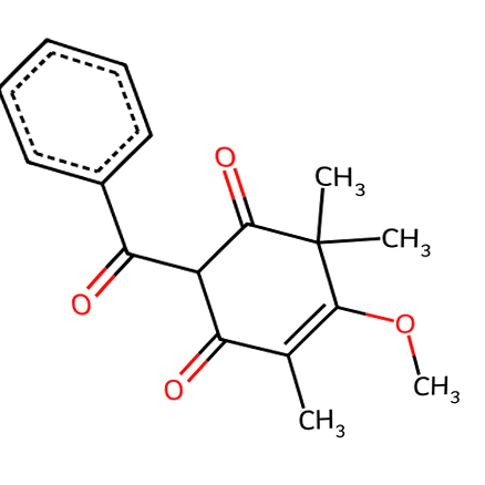 COC1=C(C)C(=O)C(C(=O)c2ccccc2)C(=O)C1(C)C